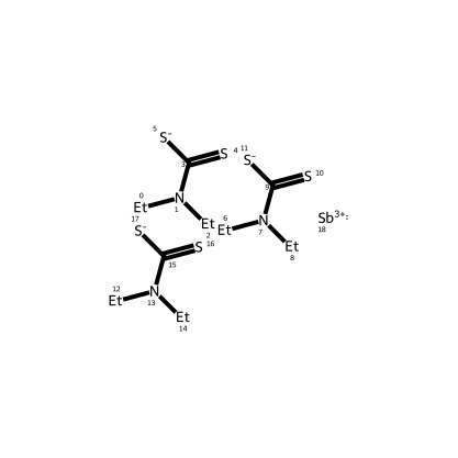 CCN(CC)C(=S)[S-].CCN(CC)C(=S)[S-].CCN(CC)C(=S)[S-].[Sb+3]